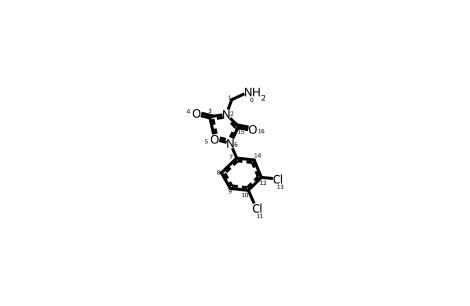 NCn1c(=O)on(-c2ccc(Cl)c(Cl)c2)c1=O